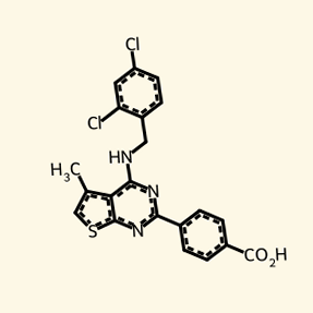 Cc1csc2nc(-c3ccc(C(=O)O)cc3)nc(NCc3ccc(Cl)cc3Cl)c12